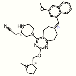 COc1cc(/C=C2/CCc3nc(OC[C@@H]4CCCN4C)nc(N4CCN[C@@H](CC#N)C4)c3CC2)c2ccccc2c1